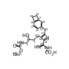 CC(C)(C)OC(=O)NCC(O)CSC1=C(Cc2ccc3c(c2)CC3)N=C1C(=N)NC(=O)O